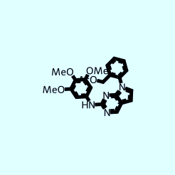 COc1cc(Nc2ncc3ccn(-c4ccccc4COC(C)=O)c3n2)cc(OC)c1OC